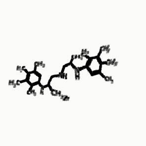 Cc1cc(NC(C)CNCC(C)Nc2cc(C)c(C)c(C)c2C)c(C)c(C)c1C.[Zr]